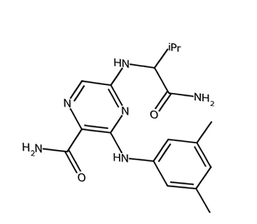 Cc1cc(C)cc(Nc2nc(NC(C(N)=O)C(C)C)cnc2C(N)=O)c1